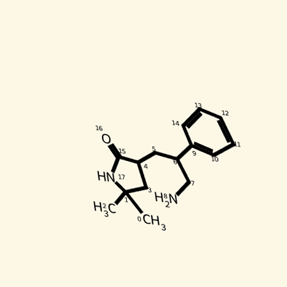 CC1(C)CC(CC(CN)c2ccccc2)C(=O)N1